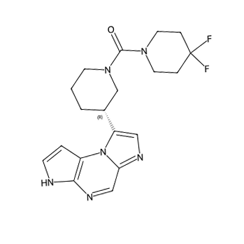 O=C(N1CCC(F)(F)CC1)N1CCC[C@@H](c2cnc3cnc4[nH]ccc4n23)C1